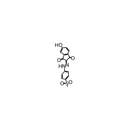 CS(=O)(=O)c1ccc(NN=c2c(=O)c3ccc(O)cc3c2=O)cc1